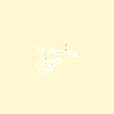 Cc1cc(C(N)=O)nc2[nH]ccc12